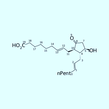 CCCCC/C=C/C[C@H]1[C@H](O)CC(=O)[C@@H]1C/C=C/CCCCCC(=O)O